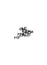 O=C(NOCCO)c1cc(Cl)c(F)c(F)c1Nc1ccc(I)cc1Cl